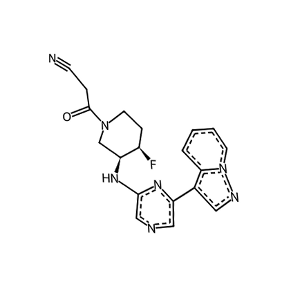 N#CCC(=O)N1CC[C@@H](F)[C@@H](Nc2cncc(-c3cnn4ccccc34)n2)C1